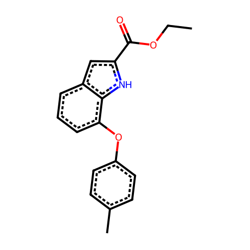 CCOC(=O)c1cc2cccc(Oc3ccc(C)cc3)c2[nH]1